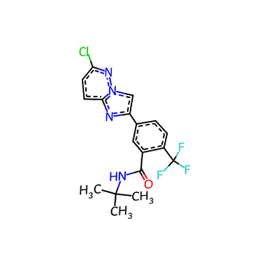 CC(C)(C)NC(=O)c1cc(-c2cn3nc(Cl)ccc3n2)ccc1C(F)(F)F